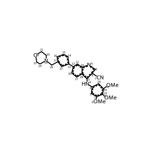 COc1cc(Nc2c(C#N)cnc3cc(-c4cccc(CN5CCOCC5)c4)ccc23)cc(OC)c1OC